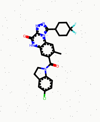 Cc1cc2c(cc1C(=O)N1CCc3cc(Cl)ccc31)[nH]c(=O)c1nnc(C3CCC(F)(F)CC3)n12